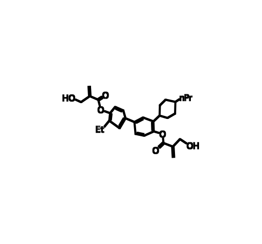 C=C(CO)C(=O)Oc1ccc(-c2ccc(OC(=O)C(=C)CO)c(C3CCC(CCC)CC3)c2)cc1CC